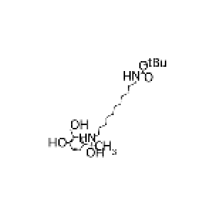 CC(C)(C)OC(=O)NCCCCCCCCCCCN[C@@](C)(O)c1ccc(O)c(CO)c1